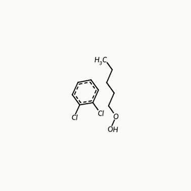 CCCCCOO.Clc1ccccc1Cl